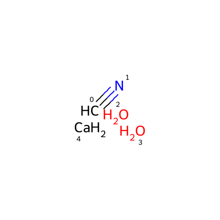 C#N.O.O.[CaH2]